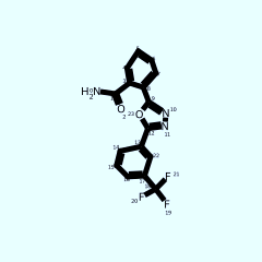 NC(=O)c1ccccc1-c1nnc(-c2cccc(C(F)(F)F)c2)o1